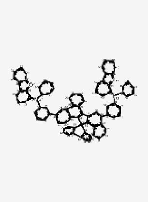 c1ccc(N(c2cccc(-c3ccc4c5c(c6ccccc6c4c3)-c3cc(-c4cccc(N(c6ccccc6)c6cccc7c6oc6ccccc67)c4)c4ccccc4c3C53c4ccccc4-c4ccccc43)c2)c2cccc3c2oc2ccccc23)cc1